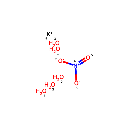 O.O.O.O.O.O=[N+]([O-])[O-].[K+]